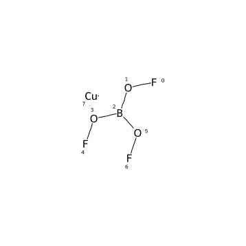 FOB(OF)OF.[Cu]